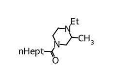 CCCCCCCC(=O)N1CCN(CC)C(C)C1